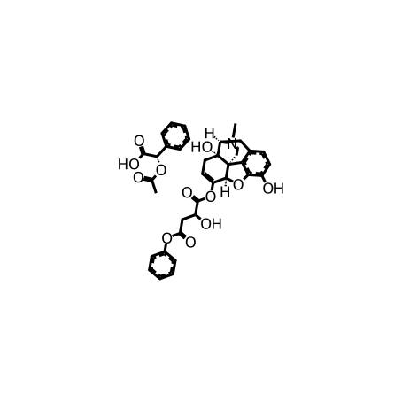 CC(=O)O[C@H](C(=O)O)c1ccccc1.CN1CC[C@]23c4c5ccc(O)c4O[C@H]2C(OC(=O)C(O)CC(=O)Oc2ccccc2)=CC[C@@]3(O)[C@H]1C5